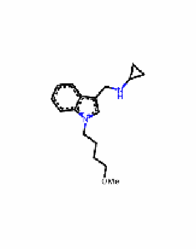 COCCCCn1cc(CNC2CC2)c2ccccc21